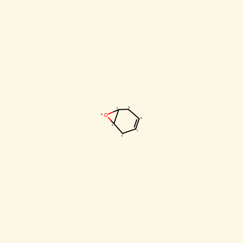 C1=CCC2OC2C1